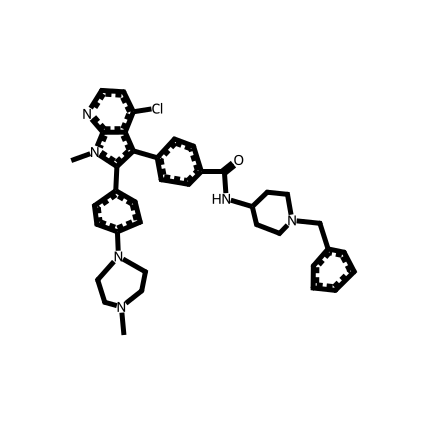 CN1CCN(c2ccc(-c3c(-c4ccc(C(=O)NC5CCN(Cc6ccccc6)CC5)cc4)c4c(Cl)ccnc4n3C)cc2)CC1